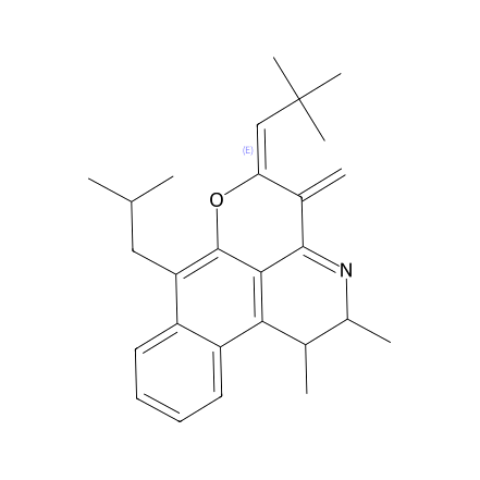 C=C1C2=NC(C)C(C)c3c2c(c(CC(C)C)c2ccccc32)O/C1=C/C(C)(C)C